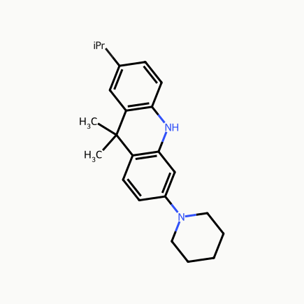 CC(C)c1ccc2c(c1)C(C)(C)c1ccc(N3CCCCC3)cc1N2